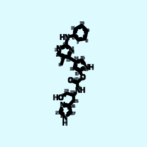 Cc1cnc(Nc2ccccc2)nc1-c1c[nH]c(OC(=O)NC(CO)Cc2c[nH]cn2)c1